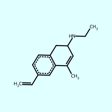 C=Cc1ccc2c(c1)C(C)=CC(NCC)C2